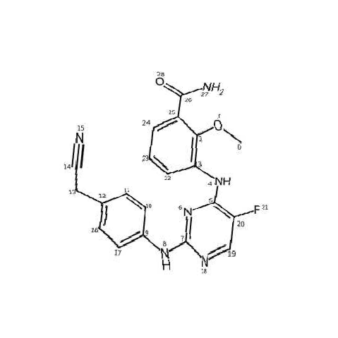 COc1c(Nc2nc(Nc3ccc(CC#N)cc3)ncc2F)cccc1C(N)=O